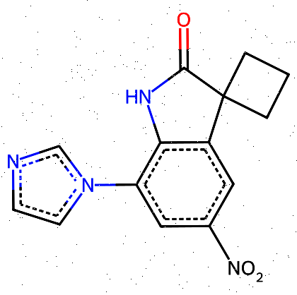 O=C1Nc2c(-n3ccnc3)cc([N+](=O)[O-])cc2C12CCC2